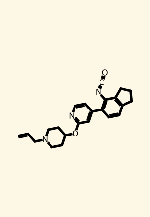 C=CCN1CCC(Oc2cc(-c3ccc4c(c3N=C=O)CCC4)ccn2)CC1